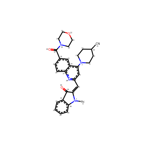 CC(=O)N1C(=Cc2cc(N3CCC(C#N)CC3)c3cc(C(=O)N4CCOCC4)ccc3n2)C(=O)c2ccccc21